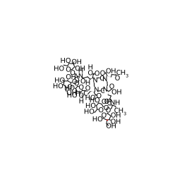 CCC[C@@H](C(=O)O)N1CCN([C@@H](CCC(=O)NC(COC2OC(CO)C(O)C(O)C2O)(COC2OC(CO)C(O)C(O)C2O)COC2OC(CO)C(O)C(O)C2O)C(=O)O)CCN([C@@H](CCC(C)=O)C(=O)O)CCN([C@@H](CCC(=O)NC(CC)(COC2OC(CO)C(O)C(O)C2O)COC2OC(O)C(CO)C(O)C2O)C(=O)O)CC1